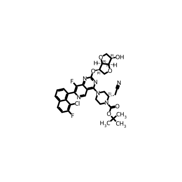 CC(C)(C)OC(=O)N1CCN(c2nc(O[C@@H]3CO[C@H]4[C@@H]3OC[C@H]4O)nc3c(F)c(-c4cccc5ccc(F)c(Cl)c45)ncc23)C[C@@H]1CC#N